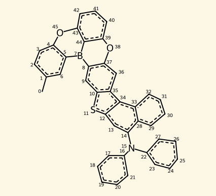 Cc1ccc2c(c1)B1c3cc4sc5cc(N(c6ccccc6)c6ccccc6)c6ccccc6c5c4cc3Oc3cccc(c31)O2